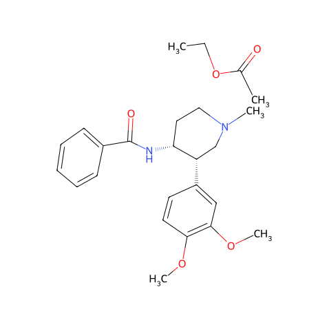 CCOC(C)=O.COc1ccc([C@H]2CN(C)CC[C@H]2NC(=O)c2ccccc2)cc1OC